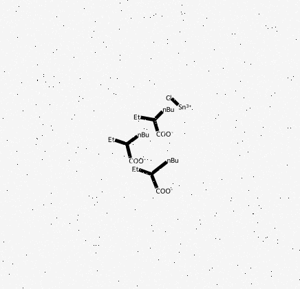 CCCCC(CC)C(=O)[O-].CCCCC(CC)C(=O)[O-].CCCCC(CC)C(=O)[O-].[Cl][Sn+3]